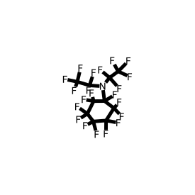 FC(F)(F)C(F)(F)N(C(F)(F)C(F)(F)F)C1(F)C(F)(F)C(F)(F)C(F)(F)C(F)(F)C1(F)F